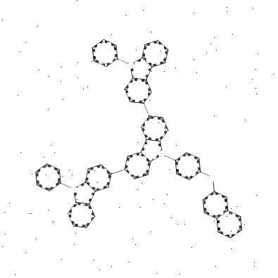 c1ccc(-n2c3ccccc3c3cc(-c4ccc5c(c4)c4cc(-c6ccc7c(c6)c6ccccc6n7-c6ccccc6)ccc4n5-c4ccc(Oc5ccc6ccccc6c5)cc4)ccc32)cc1